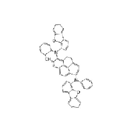 CC1C=CC=CC1N(c1ccc2ccc3c(N(c4ccccc4)c4cccc5c4oc4ccccc45)ccc4c3c2c1CC4)c1cccc2c1oc1ccccc12